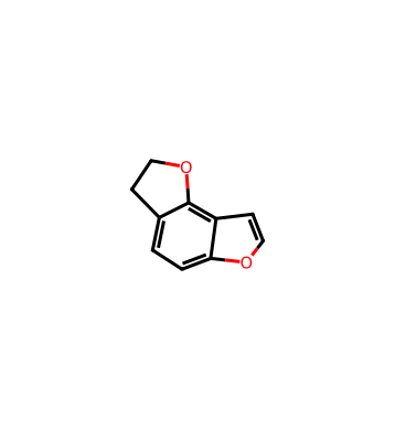 c1cc2c3c(ccc2o1)CCO3